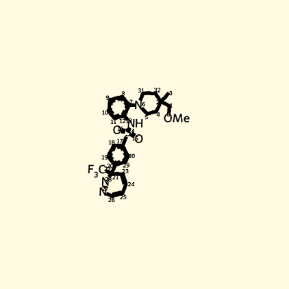 COCC1(C)CCN(c2ccccc2NS(=O)(=O)c2ccc(C3(C(F)(F)F)C=CC=CN=N3)cc2)CC1